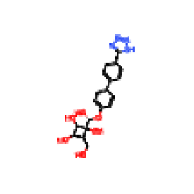 OCC1[C@@H](O)C(O)C1(O)[C@H](O)Oc1ccc(-c2ccc(-c3nnn[nH]3)cc2)cc1